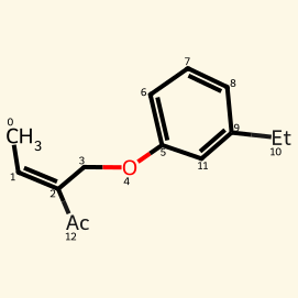 C/C=C(\COc1cccc(CC)c1)C(C)=O